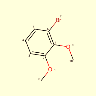 COc1c[c]cc(Br)c1OC